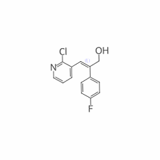 OC/C(=C/c1cccnc1Cl)c1ccc(F)cc1